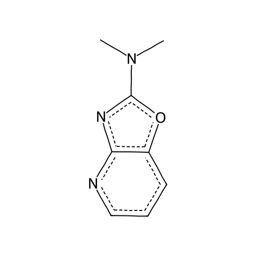 CN(C)c1nc2ncccc2o1